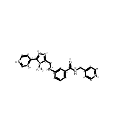 Cn1c(CNc2cccc(C(=O)NCc3ccncc3)c2)nnc1-c1ccncn1